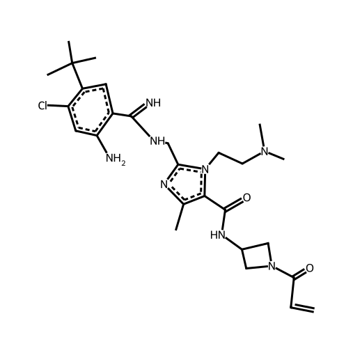 C=CC(=O)N1CC(NC(=O)c2c(C)nc(CNC(=N)c3cc(C(C)(C)C)c(Cl)cc3N)n2CCN(C)C)C1